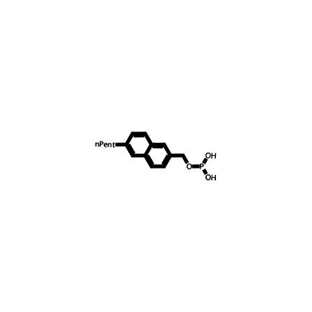 CCCCCc1ccc2cc(COP(O)O)ccc2c1